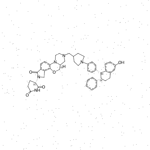 O=C1CC[C@H](N2Cc3c(ccc4c3OC[C@@H]3CN(CC5CCN(c6ccc([C@@H]7c8ccc(O)cc8CC[C@@H]7c7ccccc7)cc6)CC5)CCN43)C2=O)C(=O)N1